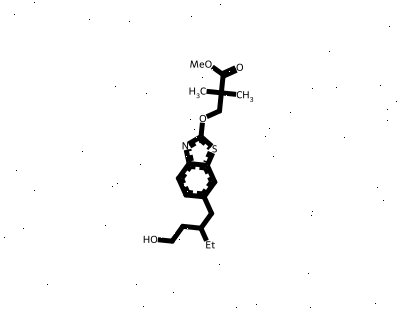 CCC(CCO)Cc1ccc2nc(OCC(C)(C)C(=O)OC)sc2c1